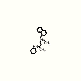 C=CN(CCC(=C)NC1CCCCC1)CC1CC=Cc2ccccc21